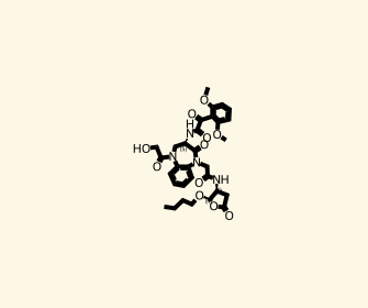 CCCCO[C@@H]1OC(=O)C[C@@H]1NC(=O)CN1C(=O)[C@@H](NC(=O)C(=O)c2c(OC)cccc2OC)CN(C(=O)CO)c2ccccc21